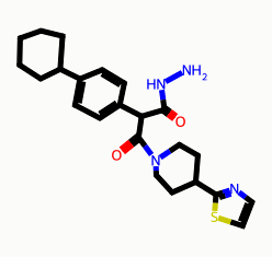 NNC(=O)C(C(=O)N1CCC(c2nccs2)CC1)c1ccc(C2CCCCC2)cc1